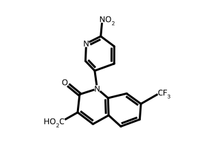 O=C(O)c1cc2ccc(C(F)(F)F)cc2n(-c2ccc([N+](=O)[O-])nc2)c1=O